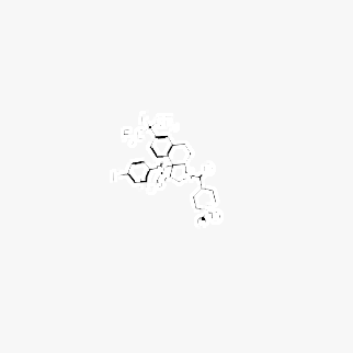 C[C@@H]1CN(C(=O)C2CCS(=O)(=O)CC2)C2CCc3cc(C(F)(C(F)(F)F)C(F)(F)F)ccc3C21S(=O)(=O)c1ccc(F)cc1